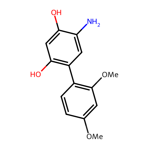 COc1ccc(-c2cc(N)c(O)cc2O)c(OC)c1